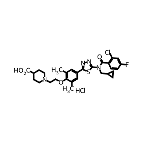 Cc1cc(-c2nnc(N(CC3CC3)C(=O)c3ccc(F)cc3Cl)s2)cc(C)c1OCCN1CCC(C(=O)O)CC1.Cl